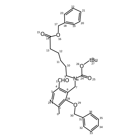 Cc1ncc(C=O)c(CN(CCCCCC(=O)OCc2ccccc2)C(=O)OC(C)(C)C)c1OCc1ccccc1